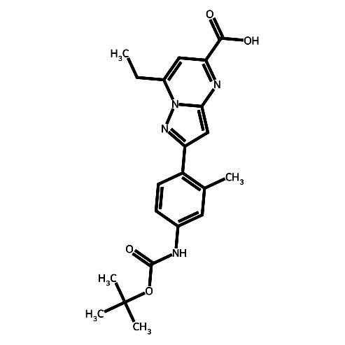 CCc1cc(C(=O)O)nc2cc(-c3ccc(NC(=O)OC(C)(C)C)cc3C)nn12